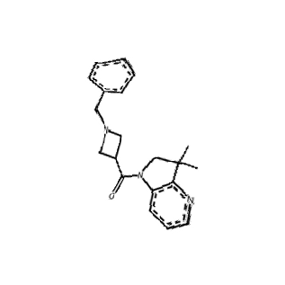 CC1(C)CN(C(=O)C2CN(Cc3ccccc3)C2)c2cccnc21